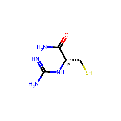 N=C(N)N[C@@H](CS)C(N)=O